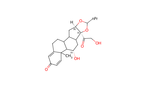 CCCC1O[C@@H]2CC3C4CCC5=CC(=O)C=CC5(C)C4[C@@H](O)CC3[C@]2(C(=O)CO)O1